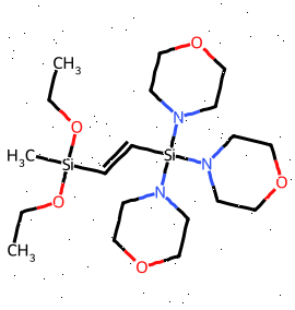 CCO[Si](C)(C=C[Si](N1CCOCC1)(N1CCOCC1)N1CCOCC1)OCC